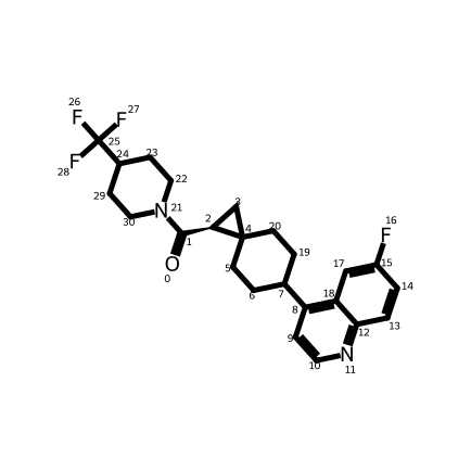 O=C([C@H]1CC12CCC(c1ccnc3ccc(F)cc13)CC2)N1CCC(C(F)(F)F)CC1